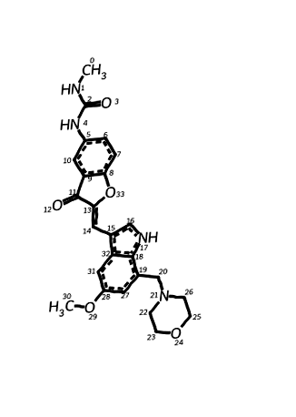 CNC(=O)Nc1ccc2c(c1)C(=O)/C(=C/c1c[nH]c3c(CN4CCOCC4)cc(OC)cc13)O2